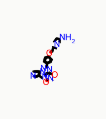 Cn1c(=O)c2nc(-c3ccc(OCCCN4CCC(N)C4)cc3)nnc2n(Cc2cccnc2)c1=O